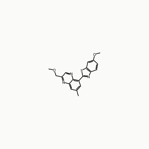 COCc1cnc2c(-c3nc4[c]cc(OC)cc4s3)cc(C)cc2n1